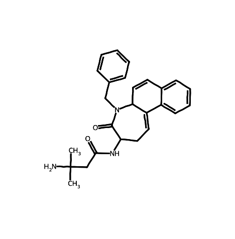 CC(C)(N)CC(=O)NC1CC=C2c3ccccc3C=CC2N(Cc2ccccc2)C1=O